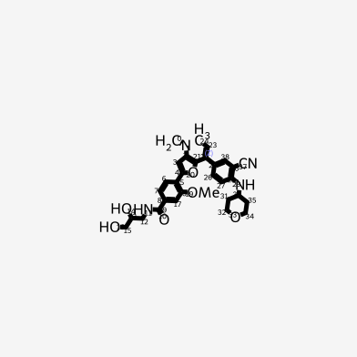 C=Nc1cc(-c2ccc(C(=O)NCC(O)CO)cc2OC)oc1/C(=C\C)c1ccc(NC2CCOCC2)c(C#N)c1